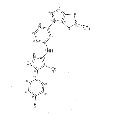 CCc1c(Nc2cc(-n3ncc4c3CN(C)C4)ncn2)n[nH]c1-c1ccc(F)cc1